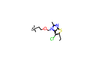 CCc1sc2nc(C)n(COCC[Si](C)(C)C)c2c1Cl